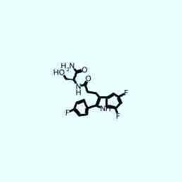 NC(=O)[C@H](CO)NC(=O)CCc1c(-c2ccc(F)cc2)[nH]c2c(F)cc(F)cc12